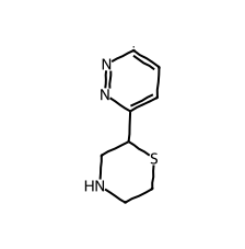 [c]1ccc(C2CNCCS2)nn1